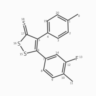 Cc1ccc(-c2c(-c3ccc(C)c(F)c3)ssc2=S)cc1